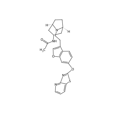 CC(=O)NC1C[C@H]2CC[C@@H](C1)N2CCc1coc2cc(Oc3nc4ncccc4s3)ccc12